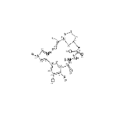 CC(=O)N1CCCC(CS(=O)(=O)NNC(=O)c2cc(-c3cn(C)cn3)cc(Cl)c2F)C1